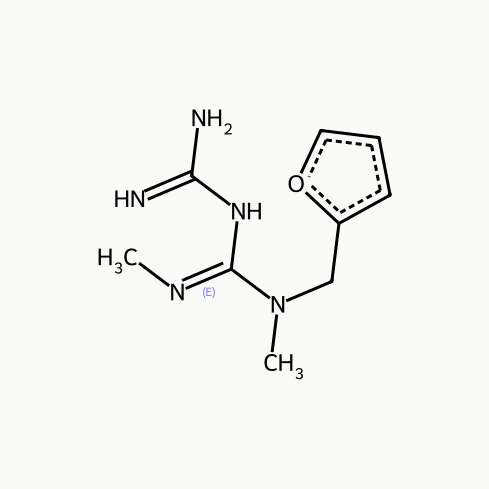 C/N=C(\NC(=N)N)N(C)Cc1ccco1